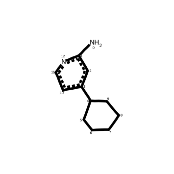 Nc1cc(C2CCCCC2)ccn1